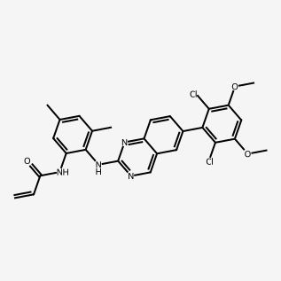 C=CC(=O)Nc1cc(C)cc(C)c1Nc1ncc2cc(-c3c(Cl)c(OC)cc(OC)c3Cl)ccc2n1